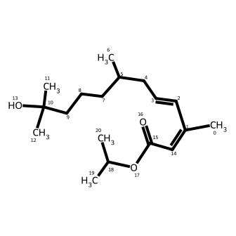 CC(C=CCC(C)CCCC(C)(C)O)=CC(=O)OC(C)C